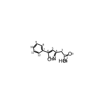 O=[PH](O)Cc1cc(-c2ccccc2)on1